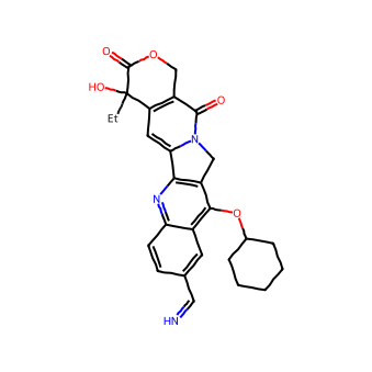 CCC1(O)C(=O)OCc2c1cc1n(c2=O)Cc2c-1nc1ccc(C=N)cc1c2OC1CCCCC1